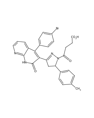 Cc1ccc(C2CC(c3c(-c4ccc(Br)cc4)c4cccnc4[nH]c3=O)=NN2C(=O)CCC(=O)O)cc1